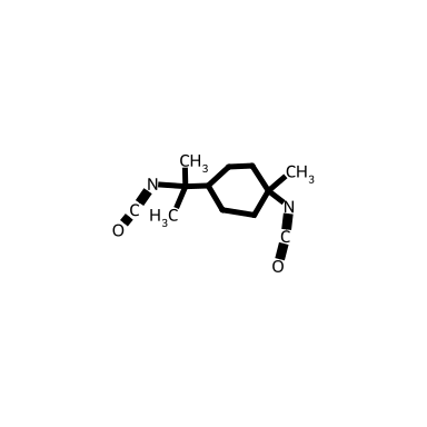 CC1(N=C=O)CCC(C(C)(C)N=C=O)CC1